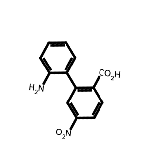 Nc1ccccc1-c1cc([N+](=O)[O-])ccc1C(=O)O